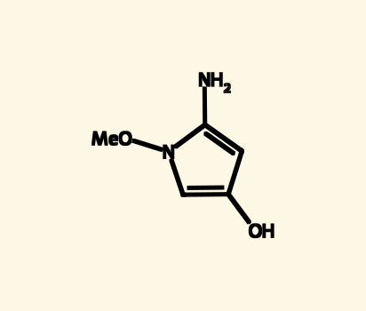 COn1cc(O)cc1N